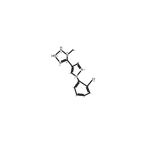 CCc1ccccc1-n1cc(C2=NNNN2C)cn1